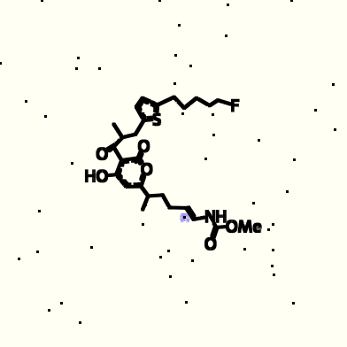 COC(=O)N/C=C/CCC(C)c1cc(O)c(C(=O)C(C)Cc2ccc(CCCCCF)s2)c(=O)o1